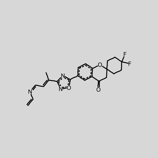 C=C/N=C\C=C(/C)c1noc(-c2ccc3c(c2)C(=O)CC2(CCC(F)(F)CC2)O3)n1